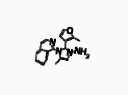 CC1=CN(N)C(c2ccoc2C)N1c1nccc2ccccc12